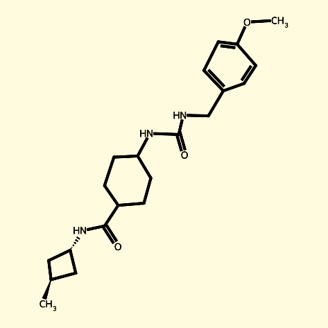 COc1ccc(CNC(=O)NC2CCC(C(=O)N[C@H]3C[C@H](C)C3)CC2)cc1